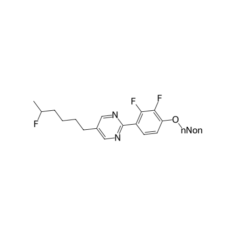 CCCCCCCCCOc1ccc(-c2ncc(CCCCC(C)F)cn2)c(F)c1F